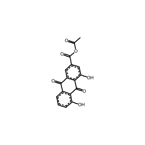 CC(=O)OC(=O)c1cc(O)c2c(c1)C(=O)c1cccc(O)c1C2=O